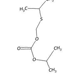 CC(C)OC(=O)OCSC(C)C